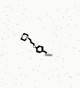 CNCc1ccc(OCCCN2CCSCC2)cc1